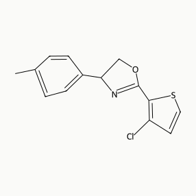 Cc1ccc(C2COC(c3sccc3Cl)=N2)cc1